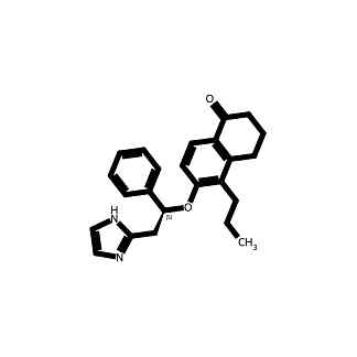 CCCc1c(O[C@@H](Cc2ncc[nH]2)c2ccccc2)ccc2c1CCCC2=O